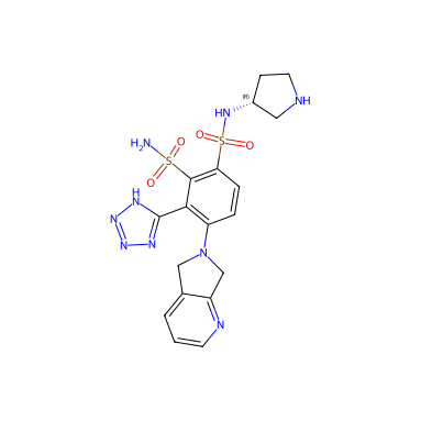 NS(=O)(=O)c1c(S(=O)(=O)N[C@@H]2CCNC2)ccc(N2Cc3cccnc3C2)c1-c1nnn[nH]1